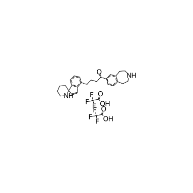 O=C(CCCc1cccc2c1C=CC21CCCCN1)c1ccc2c(c1)CCNCC2.O=C(O)C(F)(F)F.O=C(O)C(F)(F)F